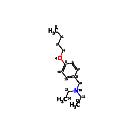 CCCCOc1ccc(CN(CC)CC)cc1